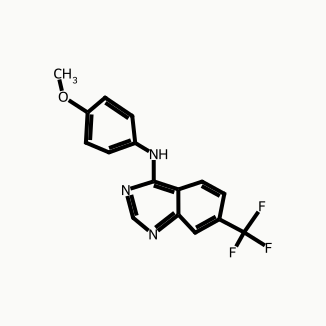 COc1ccc(Nc2ncnc3cc(C(F)(F)F)ccc23)cc1